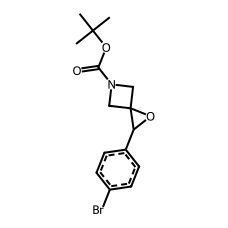 CC(C)(C)OC(=O)N1CC2(C1)OC2c1ccc(Br)cc1